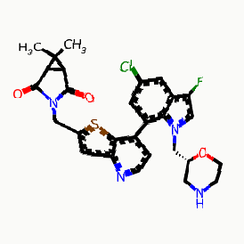 CC1(C)C2C(=O)N(Cc3cc4nccc(-c5cc(Cl)cc6c(F)cn(C[C@H]7CNCCO7)c56)c4s3)C(=O)C21